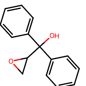 OC(c1ccccc1)(c1ccccc1)C1CO1